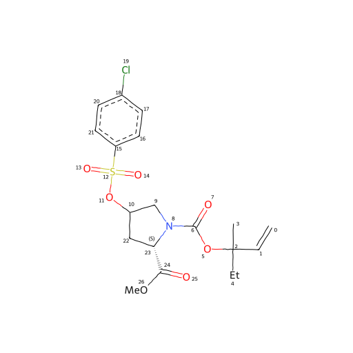 C=CC(C)(CC)OC(=O)N1CC(OS(=O)(=O)c2ccc(Cl)cc2)C[C@H]1C(=O)OC